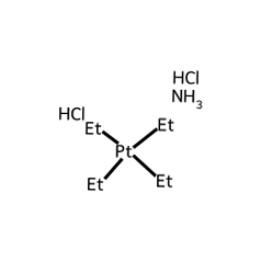 C[CH2][Pt]([CH2]C)([CH2]C)[CH2]C.Cl.Cl.N